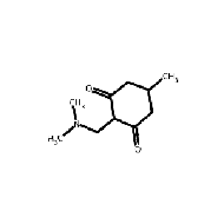 CC1CC(=O)C(CN(C)C)C(=O)C1